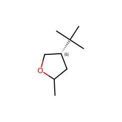 CC1C[C@@H](C(C)(C)C)CO1